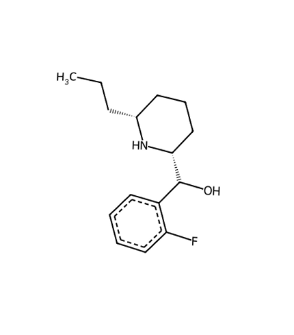 CCC[C@@H]1CCC[C@H](C(O)c2ccccc2F)N1